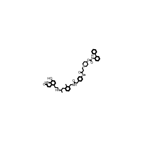 Cc1c(CNC(=O)Cc2ccc(N(C)C(=O)CCN3CCC(OC(=O)Nc4ccccc4-c4ccccc4)CC3)cc2)cccc1CC(C)NCCc1ccc(O)c2[nH]c(=O)ccc12